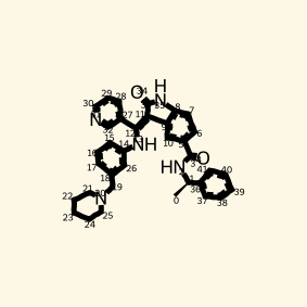 C[C@@H](NC(=O)c1ccc2c(c1)C(=C(Nc1cccc(CN3CCCCC3)c1)c1cccnc1)C(=O)N2)c1ccccc1